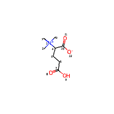 C[N+](C)(C)C(CCC(=O)O)C(=O)[O-]